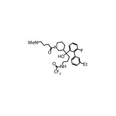 CCc1cccc(-c2c(F)cccc2[C@](O)(CCCNC(=O)C(F)(F)F)C2CCCN(C(=O)CCCNC)C2)c1